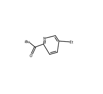 CCc1ccc(C(=O)C(C)CC)nc1